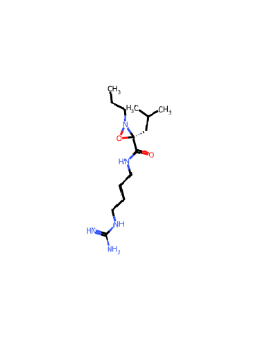 CCCN1O[C@]1(CC(C)C)C(=O)NCCCCNC(=N)N